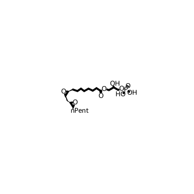 CCCCC[C@H]1O[C@H]1C[C@H]1O[C@H]1CCCCCCCC(=O)OCC(O)COP(=O)(O)O